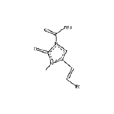 CCC=Cc1cn(C(=O)CCCC)c(=O)n1C